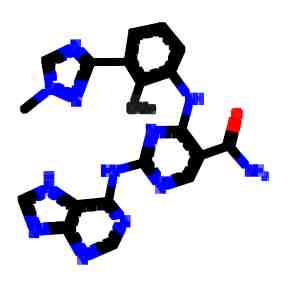 COc1c(Nc2nc(Nc3ncnc4nc[nH]c34)ncc2C(N)=O)cccc1-c1ncn(C)n1